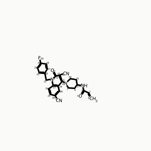 C=CC(=O)NC1CCN(c2c(C#N)c(=O)n(Cc3ccc(F)cc3)c3ccc(C#N)cc23)CC1